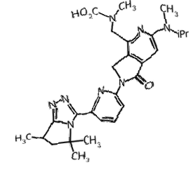 CC1CC(C)(C)n2c(-c3cccc(N4Cc5c(cc(N(C)C(C)C)nc5CN(C)C(=O)O)C4=O)n3)nnc21